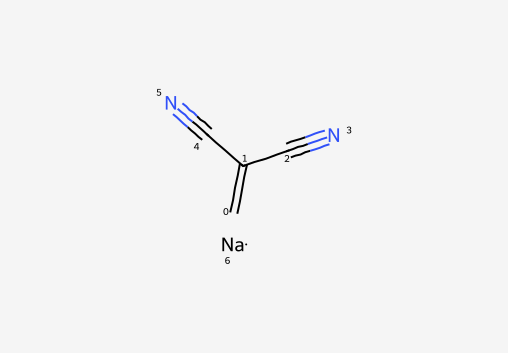 C=C(C#N)C#N.[Na]